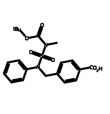 CN(C(=O)OC(C)(C)C)S(=O)(=O)N(Cc1ccc(C(=O)O)cc1)c1ccccc1